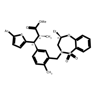 CC[C@@H]1CN(Cc2cc([C@@H](c3ccc(C(C)=O)s3)[C@@H](C)C(=O)OC)ccc2C)S(=O)(=O)c2ccccc2O1